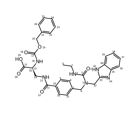 CCNC(=O)N(Cc1ccc(C(=O)NC[C@H](NC(=O)OCc2ccccc2)C(=O)O)cc1)Cc1nc2ccccc2[nH]1